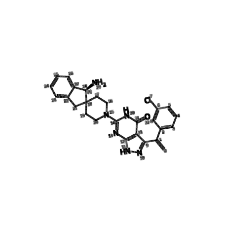 C=C(c1cccc(Cl)c1)c1n[nH]c2nc(N3CCC4(CC3)Cc3ccccc3[C@H]4N)[nH]c(=O)c12